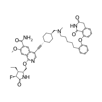 CC[C@@H]1[C@H](F)C(=O)N[C@@H]1COc1ncc(C#C[C@H]2CC[C@H](CN(C)CCCCCc3ccccc3Oc3cccc4c3C(=O)NC(=O)C4)CC2)c2cc(C(N)=O)c(OC)cc12